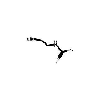 COCCNC(=O)C(C)(C)C